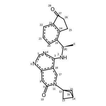 C[C@@H](Nc1ncnc2cc(=O)n(C34CC(C3)C4)cc12)c1cccc2c1CCC2=O